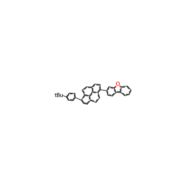 CC(C)(C)c1ccc(-c2ccc3ccc4c(-c5ccc6c(c5)oc5ccccc56)ccc5ccc2c3c54)cc1